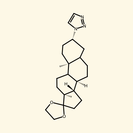 C[C@]12CC[C@H](n3ccnn3)CC1CC[C@@H]1C2CC[C@@]2(C)[C@H]1CCC21OCCO1